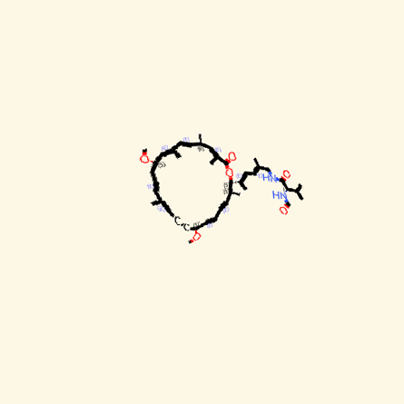 CO[C@@H]1/C=C(C)/C=C/[C@@H](C)/C=C(\C)C(=O)O[C@H](/C(C)=C/C=C(\C)CNC(=O)[C@@H](NC=O)C(C)C)[C@@H](C)/C=C/C=C/[C@@H](OC)CC/C=C(C)\C=C\C1